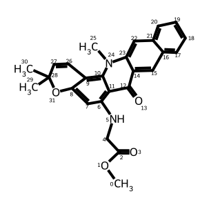 COC(=O)CNc1cc2c(c3c1c(=O)c1cc4ccccc4cc1n3C)C=CC(C)(C)O2